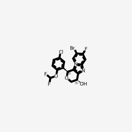 O[C@@H]1CO[C@@H](c2cc(Cl)ccc2OC(F)F)c2c1nc1cc(F)c(Br)cn21